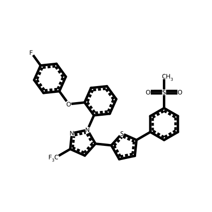 CS(=O)(=O)c1cccc(-c2ccc(-c3cc(C(F)(F)F)nn3-c3ccccc3Oc3ccc(F)cc3)s2)c1